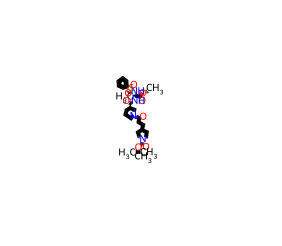 CCOC(=O)[C@](C)(NC(=O)[C@@H]1CCCN(C(=O)CCC2CCN(C(=O)OC(C)(C)C)CC2)C1)NS(=O)(=O)c1ccccc1